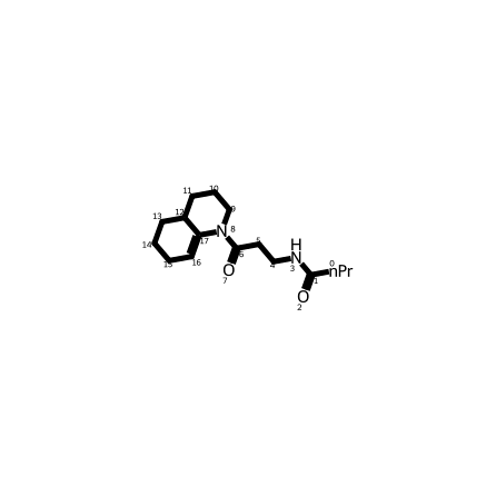 CCCC(=O)NCCC(=O)N1CCCC2CCCC=C21